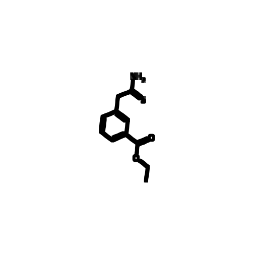 CCOC(=O)c1cccc(CC(N)=S)c1